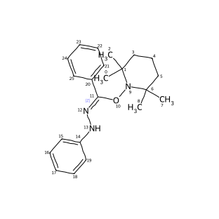 CC1(C)CCCC(C)(C)N1O/C(=N\Nc1ccccc1)c1ccccc1